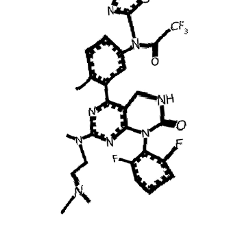 Cc1ccc(N(C(=O)C(F)(F)F)c2nccs2)cc1-c1nc(N(C)CCN(C)C)nc2c1CNC(=O)N2c1c(F)cccc1F